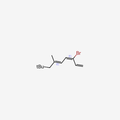 C=C/C(Br)=C\C=C(/C)CC(C)(C)C